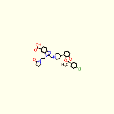 CC1(c2ccc(Cl)cc2)Oc2cccc(C3CCN(Cc4nc5ccc(C(=O)O)cc5n4CCN4CCCC4=O)CC3)c2O1